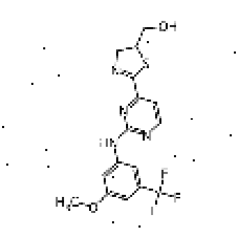 COc1cc(Nc2nccc(C3=NCC(CO)S3)n2)cc(C(F)(F)F)c1